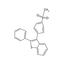 CS(=O)(=O)c1ccc(-c2c(-c3ccccc3)sc3ccccc23)cc1